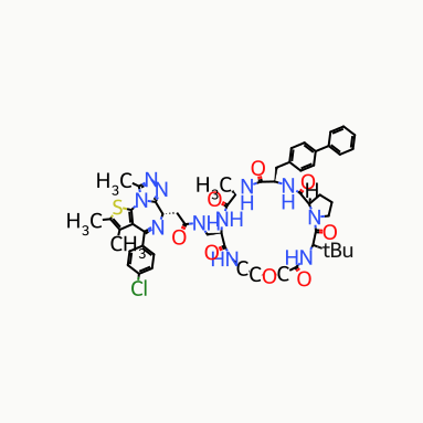 Cc1sc2c(c1C)C(c1ccc(Cl)cc1)=N[C@@H](CC(=O)NC[C@H]1NC(=O)[C@@H](C)NC(=O)[C@@H](Cc3ccc(-c4ccccc4)cc3)NC(=O)[C@@H]3CCCN3C(=O)C(C(C)(C)C)NC(=O)COCCNC1=O)c1nnc(C)n1-2